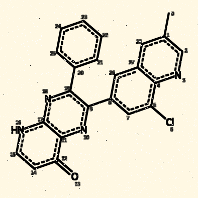 Cc1cnc2c(Cl)cc(-c3nc4c(=O)cc[nH]c4nc3-c3ccccc3)cc2c1